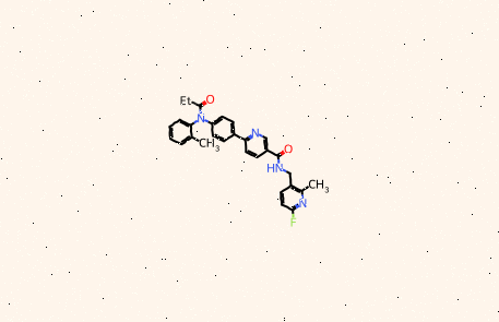 CCC(=O)N(c1ccc(-c2ccc(C(=O)NCc3ccc(F)nc3C)cn2)cc1)c1ccccc1C